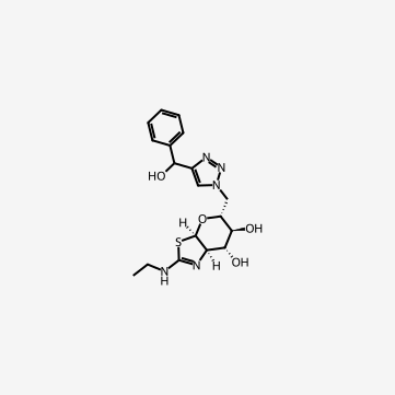 CCNC1=N[C@@H]2[C@@H](O)[C@H](O)[C@@H](Cn3cc(C(O)c4ccccc4)nn3)O[C@@H]2S1